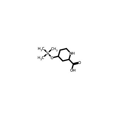 C[Si](C)(C)OC1CCNC(C(=O)O)C1